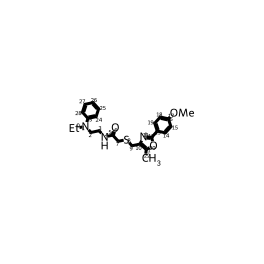 CCN(CCNC(=O)CSCc1nc(-c2ccc(OC)cc2)oc1C)c1ccccc1